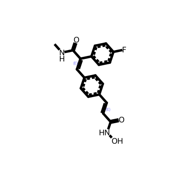 CNC(=O)/C(=C/c1ccc(/C=C/C(=O)NO)cc1)c1ccc(F)cc1